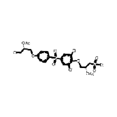 CCS(=O)(=O)C[C@@H](COc1c(Cl)cc(S(=O)(=O)c2ccc(OC[C@H](CCl)OC(C)=O)cc2)cc1Cl)OC(C)=O